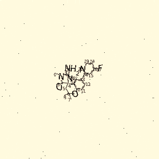 CN1C(=O)C2(CC(C)(C)Oc3ccc(-c4cc(F)ccn4)cc32)N=C1N